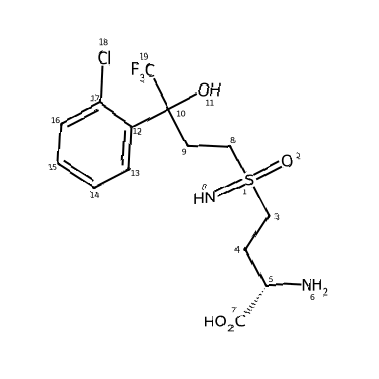 N=S(=O)(CC[C@H](N)C(=O)O)CCC(O)(c1ccccc1Cl)C(F)(F)F